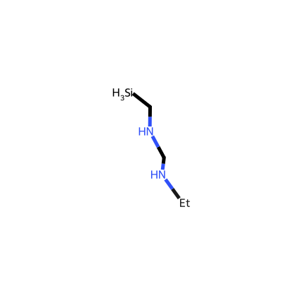 CCNCNC[SiH3]